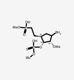 BC1C[C@H](CCP(=O)(O)OC)[C@@H](OP(O)(=S)OC(C)CC)[C@H]1OC